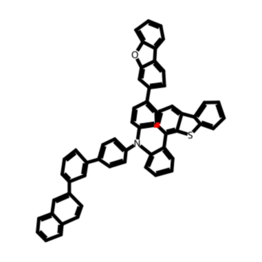 c1cc(-c2ccc(N(c3ccc(-c4ccc5c(c4)oc4ccccc45)cc3)c3ccccc3-c3cccc4c3sc3ccccc34)cc2)cc(-c2ccc3ccccc3c2)c1